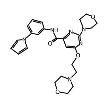 O=C(Nc1cccc(-n2cccc2)c1)c1cc(OCCN2CCOCC2)nc(N2CCOCC2)n1